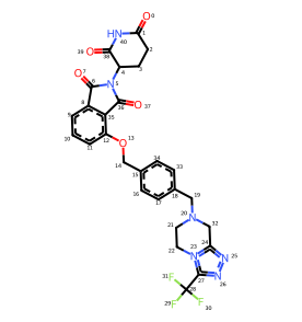 O=C1CCC(N2C(=O)c3cccc(OCc4ccc(CN5CCn6c(nnc6C(F)(F)F)C5)cc4)c3C2=O)C(=O)N1